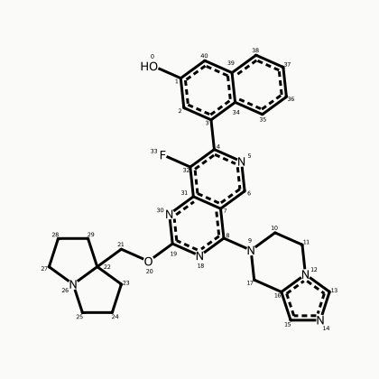 Oc1cc(-c2ncc3c(N4CCn5cncc5C4)nc(OCC45CCCN4CCC5)nc3c2F)c2ccccc2c1